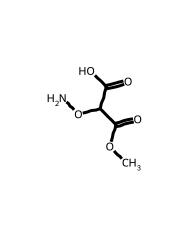 COC(=O)C(ON)C(=O)O